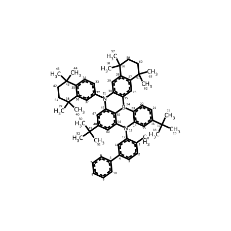 Cc1ccc(-c2ccccc2)cc1N1c2cc(C(C)(C)C)ccc2B2c3cc4c(cc3N(c3ccc5c(c3)C(C)(C)CCC5(C)C)c3cc(C(C)(C)C)cc1c32)C(C)(C)CCC4(C)C